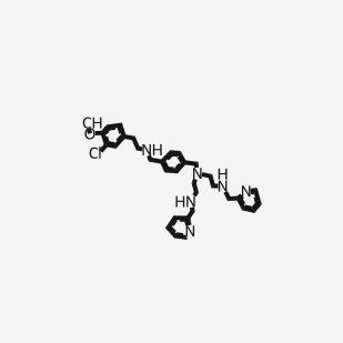 COc1ccc(CCNCc2ccc(CN(CCNCc3ccccn3)CCNCc3ccccn3)cc2)cc1Cl